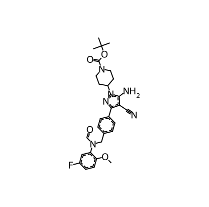 COc1ccc(F)cc1N(C=O)Cc1ccc(-c2nn(C3CCN(C(=O)OC(C)(C)C)CC3)c(N)c2C#N)cc1